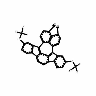 N#Cc1ccc(C2=c3c(ccc4c3=C(c3ccc(C#N)cc3)c3cc(OC(F)(F)F)ccc3-4)-c3ccc(OC(F)(F)F)cc32)cc1